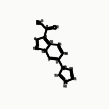 CCC(=O)c1cnn2cc(-n3ccnc3)ccc12